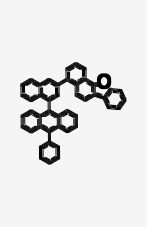 c1ccc(-c2c3ccccc3c(-c3cc(-c4cccc5c4ccc4c6ccccc6oc54)cc4ccccc34)c3ccccc23)cc1